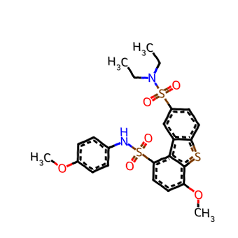 CCN(CC)S(=O)(=O)c1ccc2sc3c(OC)ccc(S(=O)(=O)Nc4ccc(OC)cc4)c3c2c1